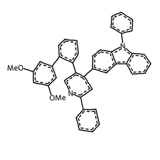 COc1cc(OC)cc(-c2ccccc2-c2cnc(-c3ccccc3)cc2-c2ccc3c(c2)c2ccccc2n3-c2ccccc2)c1